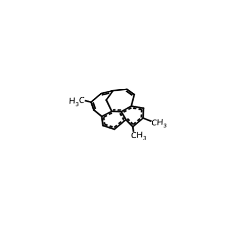 CC1=Cc2ccc3c(C)c(C)cc4c3c2CC(=C1)C=C4